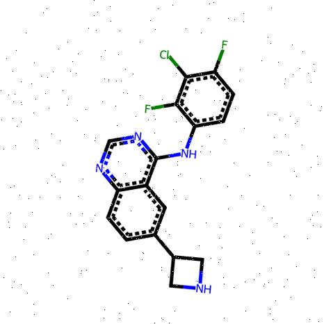 Fc1ccc(Nc2ncnc3ccc(C4CNC4)cc23)c(F)c1Cl